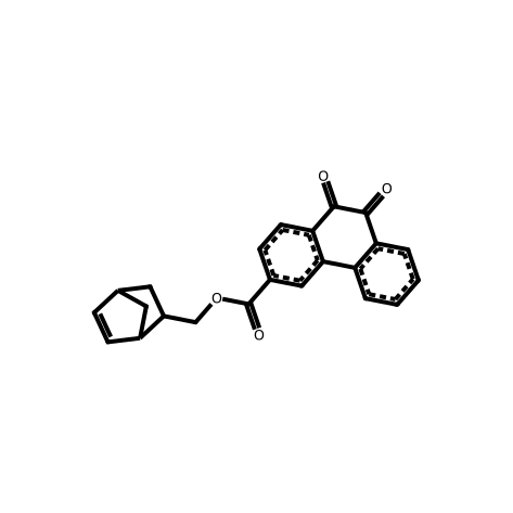 O=C(OCC1CC2C=CC1C2)c1ccc2c(c1)-c1ccccc1C(=O)C2=O